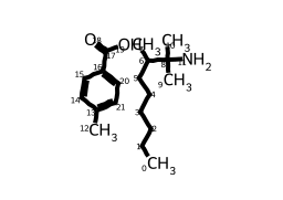 CCCCCCC(C)C(C)(C)N.Cc1ccc(C(=O)O)cc1